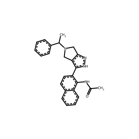 CC(=O)Nc1c(-c2[nH]nc3c2CN(C(C)c2ccccc2)C3)ccc2ccccc12